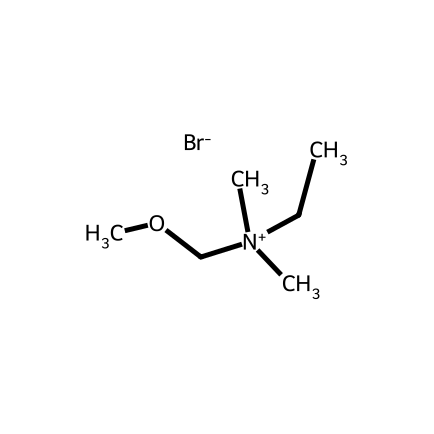 CC[N+](C)(C)COC.[Br-]